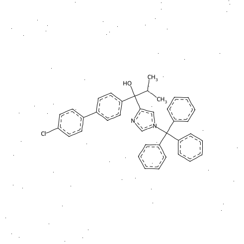 CC(C)C(O)(c1ccc(-c2ccc(Cl)cc2)cc1)c1cn(C(c2ccccc2)(c2ccccc2)c2ccccc2)cn1